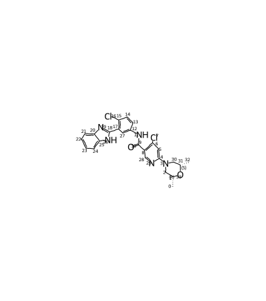 C[C@@H]1CN(c2cc(Cl)c(C(=O)Nc3ccc(Cl)c(-c4nc5ccccc5[nH]4)c3)cn2)C[C@H](C)O1